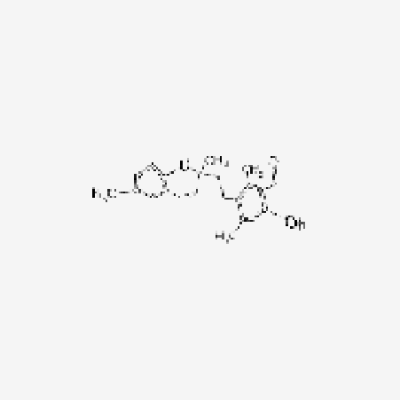 Cc1ccc2c(c1)C=CC(C)(CCc1c(C)cc(O)c(C=O)c1C)O2